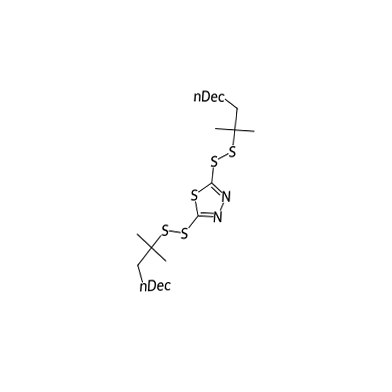 CCCCCCCCCCCC(C)(C)SSc1nnc(SSC(C)(C)CCCCCCCCCCC)s1